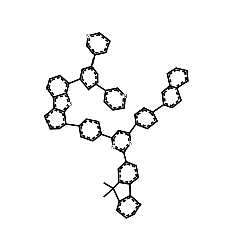 CC1(C)c2ccccc2-c2ccc(-c3nc(-c4ccc(-c5ccc6ccccc6c5)cc4)cc(-c4ccc(-c5cccc6c5sc5c(-c7cc(-c8cccnc8)cc(-c8cccnc8)c7)cccc56)cc4)n3)cc21